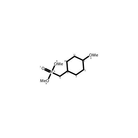 COC1CCC(CP(=O)(OC)OC)CC1